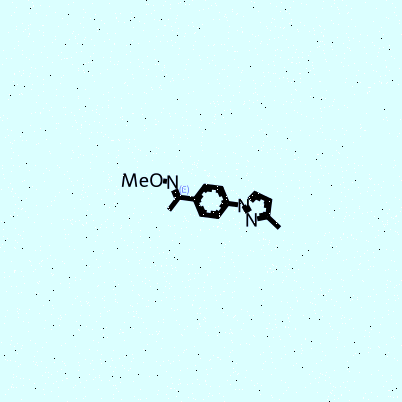 CO/N=C(\C)c1ccc(-n2ccc(C)n2)cc1